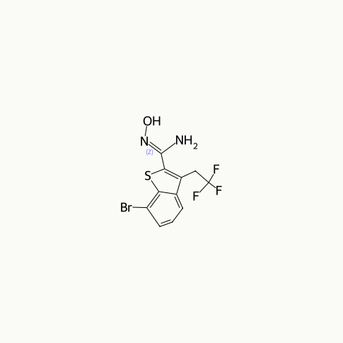 N/C(=N\O)c1sc2c(Br)cccc2c1CC(F)(F)F